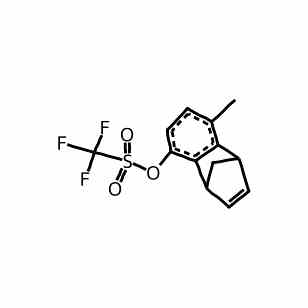 Cc1ccc(OS(=O)(=O)C(F)(F)F)c2c1C1C=CC2C1